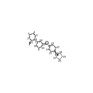 Fc1ccccc1-c1cccc(Oc2ccc(N3CCCC3)cc2)c1